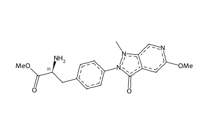 COC(=O)[C@@H](N)Cc1ccc(-n2c(=O)c3cc(OC)ncc3n2C)cc1